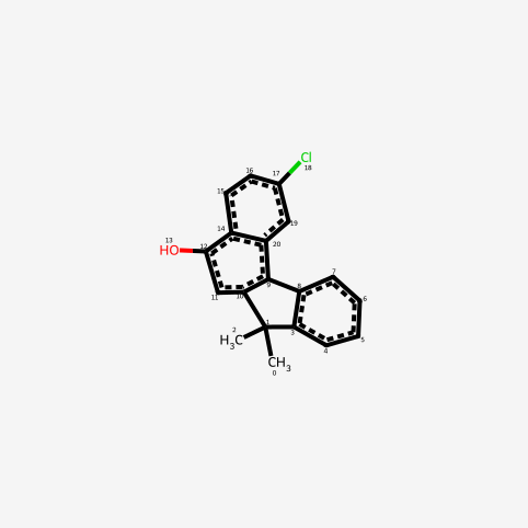 CC1(C)c2ccccc2-c2c1cc(O)c1ccc(Cl)cc21